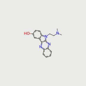 CN(C)CCn1c2ccc(O)cc2c2nc3ccccc3nc21